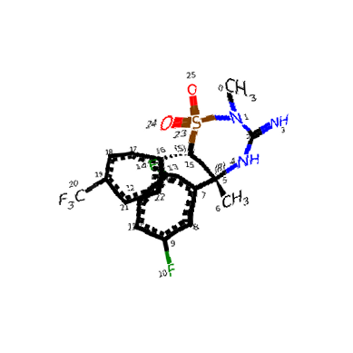 CN1C(=N)N[C@](C)(c2cc(F)ccc2F)[C@H](c2ccc(C(F)(F)F)cc2)S1(=O)=O